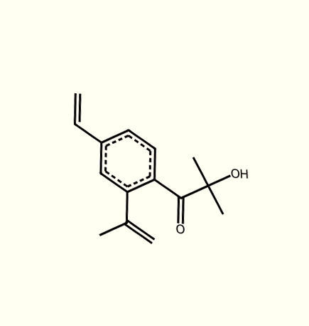 C=Cc1ccc(C(=O)C(C)(C)O)c(C(=C)C)c1